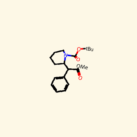 COC(=O)C(c1ccccc1)C1CCCCN1C(=O)OC(C)(C)C